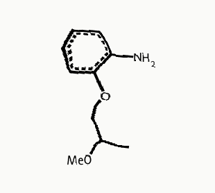 COC(C)COc1ccccc1N